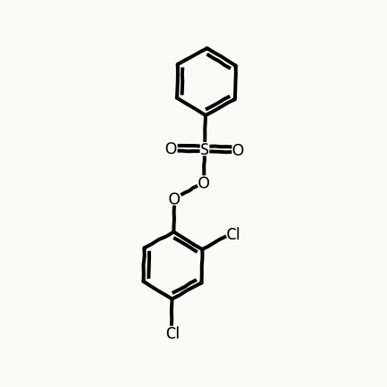 O=S(=O)(OOc1ccc(Cl)cc1Cl)c1ccccc1